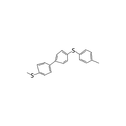 CSc1ccc(-c2ccc(Sc3ccc(C)cc3)cc2)cc1